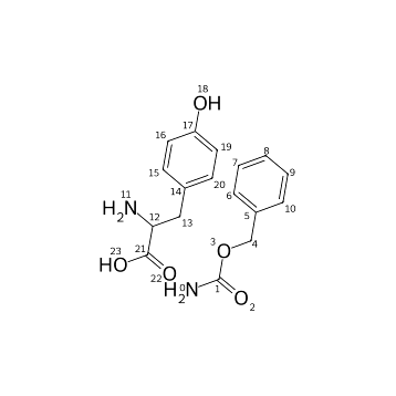 NC(=O)OCc1ccccc1.NC(Cc1ccc(O)cc1)C(=O)O